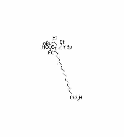 CCCCC(CC)CC(CC(CC)CCCC)(C(=O)O)C(CC)CCCCCCCCCCCCCCCC(=O)O